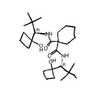 CC(C)(C)[C@@H](NC(=O)C1(C(=O)N[C@H](C(C)(C)C)C2(O)CCC2)CCCCC1)C1(O)CCC1